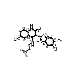 CN(C)CCNc1c(-c2nc3cc(F)c(Cl)cc3[nH]2)c(=O)[nH]c2ccc(Cl)cc12